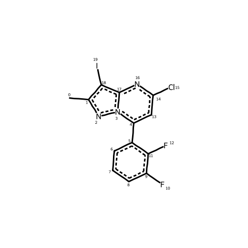 Cc1nn2c(-c3cccc(F)c3F)cc(Cl)nc2c1I